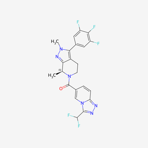 C[C@H]1c2nn(C)c(-c3cc(F)c(F)c(F)c3)c2CCN1C(=O)c1ccc2nnc(C(F)F)n2c1